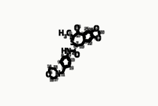 C[C@@H]1S[C@@H](C(=O)Nc2ccc(CN3CCOCC3)cc2)Cc2cc3c(cc2C1=O)OCO3